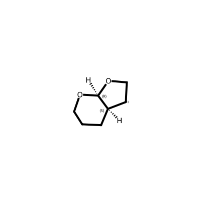 [C]1CO[C@@H]2OCCC[C@H]12